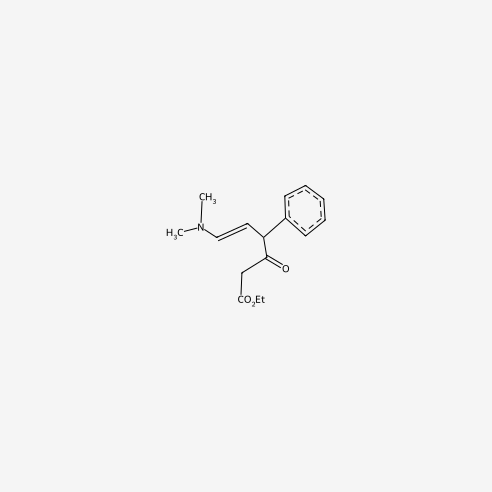 CCOC(=O)CC(=O)C(C=CN(C)C)c1ccccc1